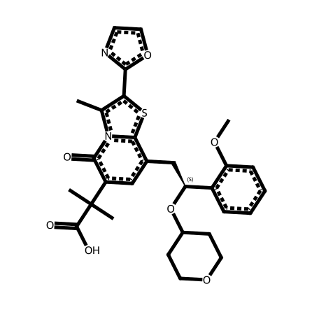 COc1ccccc1[C@H](Cc1cc(C(C)(C)C(=O)O)c(=O)n2c(C)c(-c3ncco3)sc12)OC1CCOCC1